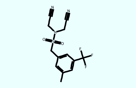 Cc1cc(CS(=O)(=O)N(CC#N)CC#N)cc(C(F)(F)F)c1